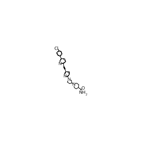 NC(=O)C1CCN(C2CCN(c3ccc(C#Cc4ccc(-c5ccc(Cl)cc5)cn4)cn3)C2)CC1